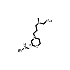 CC(C)NC[C@@H]1CN(CCCN(C)CC(C)(C)C)CCO1